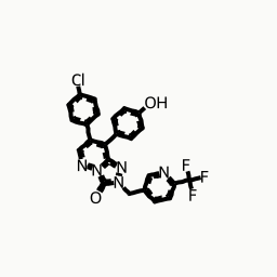 O=c1n(Cc2ccc(C(F)(F)F)nc2)nc2c(-c3ccc(O)cc3)c(-c3ccc(Cl)cc3)cnn12